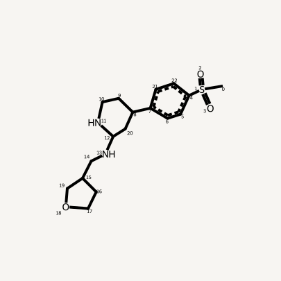 CS(=O)(=O)c1ccc(C2CCNC(NCC3CCOC3)C2)cc1